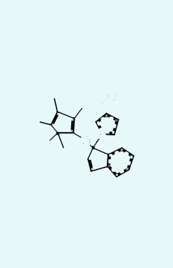 CC1=C(C)C(C)(C)[C]([Zr+2][C]2(p3cccc3)C=Cc3ccccc32)=C1C.[Cl-].[Cl-]